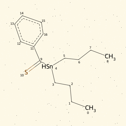 CCC[CH2][SnH]([CH2]CCC)[C](=S)c1ccccc1